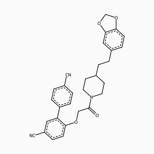 N#Cc1ccc(-c2cc(C#N)ccc2OCC(=O)N2CCC(CCc3ccc4c(c3)OCO4)CC2)cc1